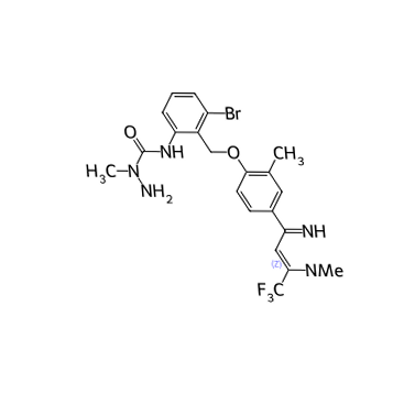 CN/C(=C\C(=N)c1ccc(OCc2c(Br)cccc2NC(=O)N(C)N)c(C)c1)C(F)(F)F